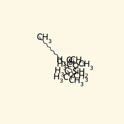 CCCCCCCCCCCCCCCCCCCC1([SiH2]c2cc(C)cc([Si](C)(C)C)c2)C(C)=C(C)C(C)=C1C